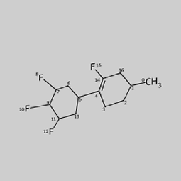 CC1CCC(C2CC(F)C(F)C(F)C2)=C(F)C1